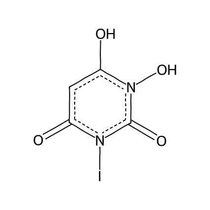 O=c1cc(O)n(O)c(=O)n1I